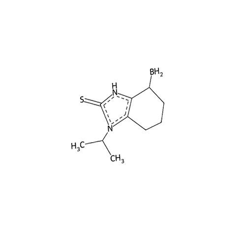 BC1CCCc2c1[nH]c(=S)n2C(C)C